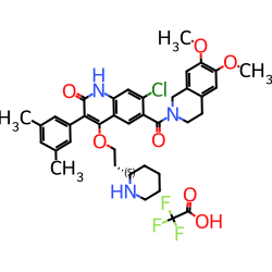 COc1cc2c(cc1OC)CN(C(=O)c1cc3c(OCC[C@@H]4CCCCN4)c(-c4cc(C)cc(C)c4)c(=O)[nH]c3cc1Cl)CC2.O=C(O)C(F)(F)F